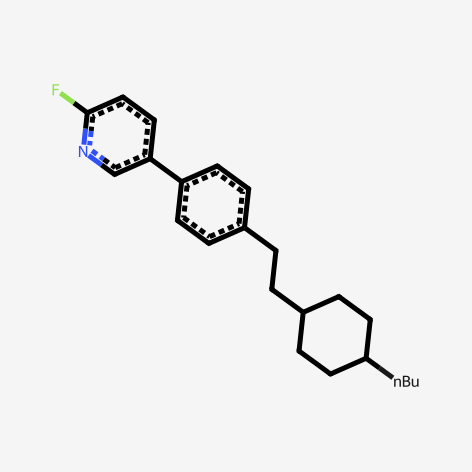 CCCCC1CCC(CCc2ccc(-c3ccc(F)nc3)cc2)CC1